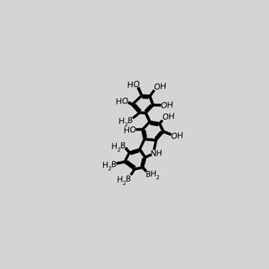 Bc1c(O)c(O)c(O)c(O)c1-c1c(O)c(O)c2[nH]c3c(B)c(B)c(B)c(B)c3c2c1O